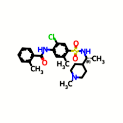 Cc1ccccc1C(=O)Nc1cc(C)c(S(=O)(=O)N[C@H](C)C2CCN(C)CC2)cc1Cl